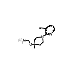 Cc1cccnc1N1CCC(C)(OCN)CC1